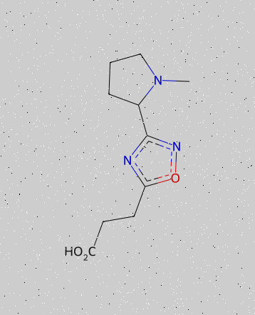 CN1CCCC1c1noc(CCC(=O)O)n1